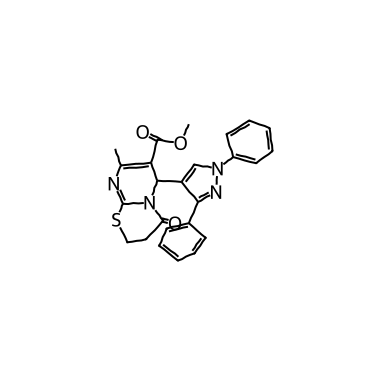 COC(=O)C1=C(C)N=C2SCCC(=O)N2C1c1cn(-c2ccccc2)nc1-c1ccccc1